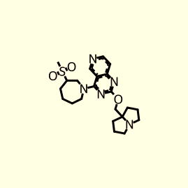 CS(=O)(=O)C1CCCCN(c2nc(OCC34CCCN3CCC4)nc3ccncc23)C1